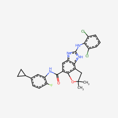 CC1(C)Cc2c(c(C(=O)Nc3cc(C4CC4)ccc3F)cc3nc(Nc4c(Cl)cccc4Cl)[nH]c23)O1